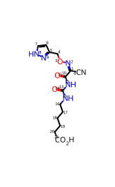 N#CC(=NOCc1cc[nH]n1)C(=O)NC(=O)NCCCCCC(=O)O